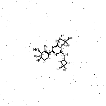 C[C@H](Nc1nc(NC2CC(F)(F)C2)nc(C2=C(F)C(O)C(F)(F)CC2)n1)C(F)(F)F